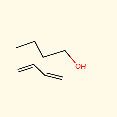 C=CC=C.CCCCO